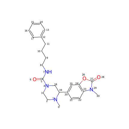 CN1CCN(C(=O)NCCCCc2ccccc2)CC1c1ccc2c(c1)oc(=O)n2C